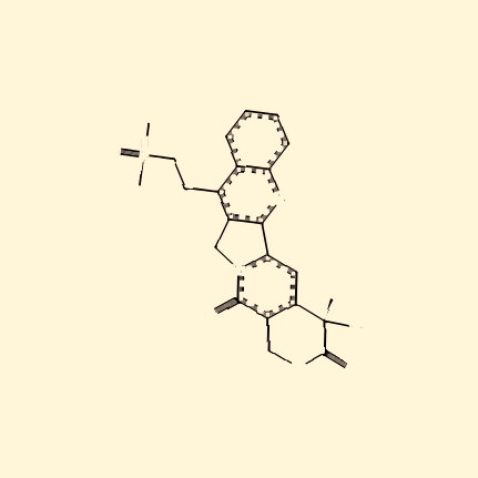 CC[C@@]1(O)C(=O)OCc2c1cc1n(c2=O)Cc2c-1nc1ccccc1c2CC[SH](C)(C)=O